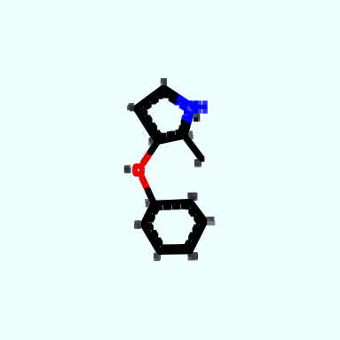 Cc1[nH]ccc1Oc1ccccc1